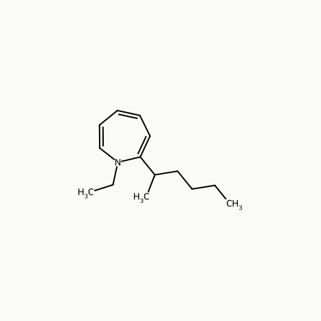 CCCC[C](C)C1=CC=CC=CN1CC